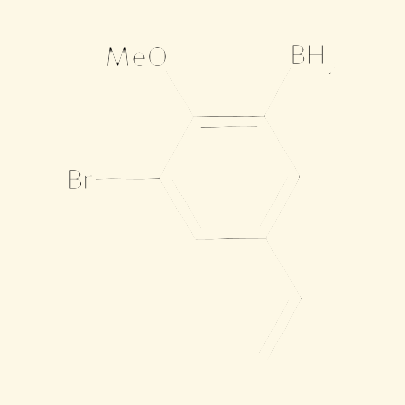 Bc1cc(C=C)cc(Br)c1OC